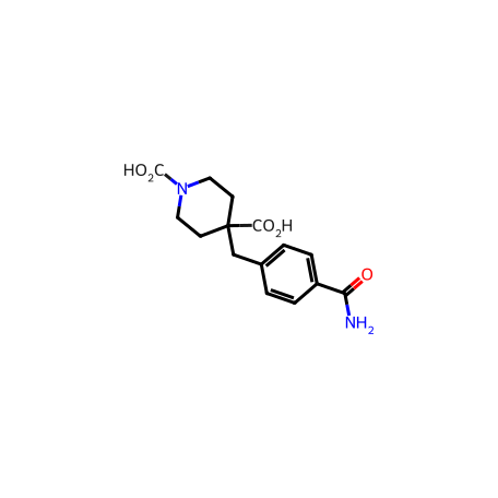 NC(=O)c1ccc(CC2(C(=O)O)CCN(C(=O)O)CC2)cc1